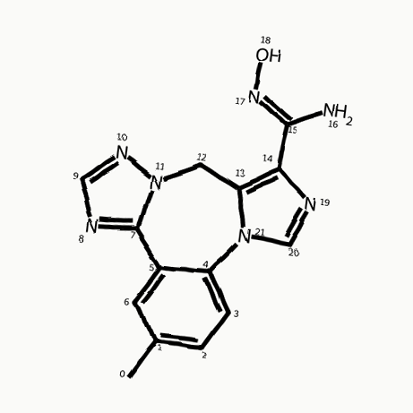 Cc1ccc2c(c1)-c1ncnn1Cc1c(C(N)=NO)ncn1-2